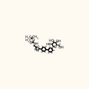 CC(C)(C)OC(=O)NCc1nnc(-c2ccc(-c3cccc([C@H]4O[C@H](CO)[C@@H](O)[C@H](O)[C@@H]4O)c3)cc2)o1